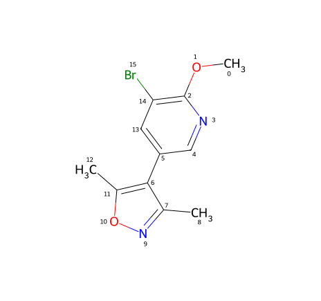 COc1ncc(-c2c(C)noc2C)cc1Br